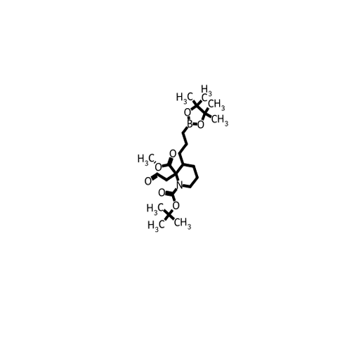 COC(=O)C1(CC=O)C(CCCB2OC(C)(C)C(C)(C)O2)CCCN1C(=O)OC(C)(C)C